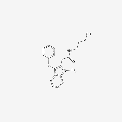 Cn1c(CC(=O)NCCCO)c(Sc2ccccc2)c2ccccc21